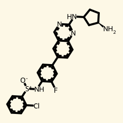 N[C@@H]1CCC(Nc2ncc3cc(-c4ccc(N[S+]([O-])c5ccccc5Cl)c(F)c4)ccc3n2)C1